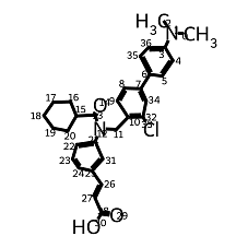 CN(C)c1ccc(-c2ccc(CN(C(=O)C3CCCCC3)c3cccc(C=CC(=O)O)c3)c(Cl)c2)cc1